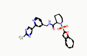 O=C(NCc1ccnc(-c2cnc(C(F)(F)F)nc2)c1)C1CCCN1S(=O)(=O)c1cc2ccccc2o1